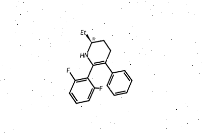 CC[C@H]1CCC(c2ccccc2)=C(c2c(F)cccc2F)N1